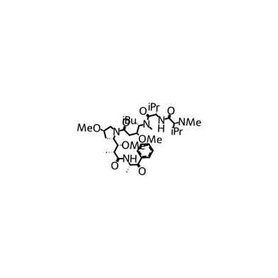 CCC(C)[C@@H]([C@H](CC(=O)N1C[C@H](OC)C[C@H]1[C@H](OC)[C@@H](C)C(=O)N[C@@H](C)C(=O)c1ccccc1)OC)N(C)C(=O)[C@@H](NC(=O)[C@@H](NC)C(C)C)C(C)C